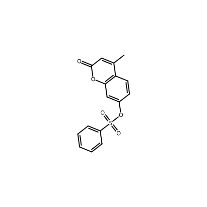 Cc1cc(=O)oc2cc(OS(=O)(=O)c3ccccc3)ccc12